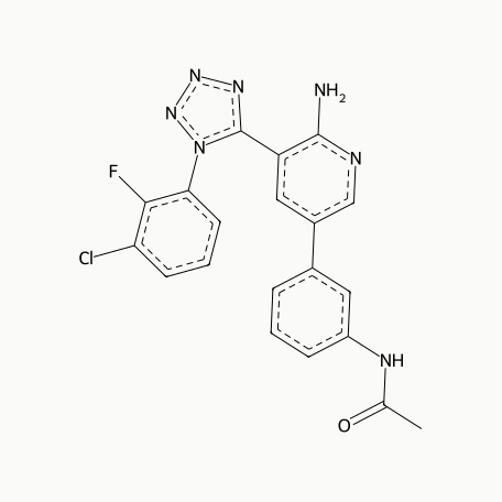 CC(=O)Nc1cccc(-c2cnc(N)c(-c3nnnn3-c3cccc(Cl)c3F)c2)c1